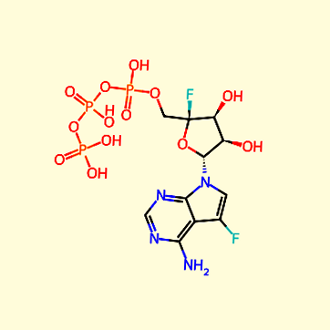 Nc1ncnc2c1c(F)cn2[C@@H]1O[C@](F)(COP(=O)(O)OP(=O)(O)OP(=O)(O)O)[C@@H](O)[C@H]1O